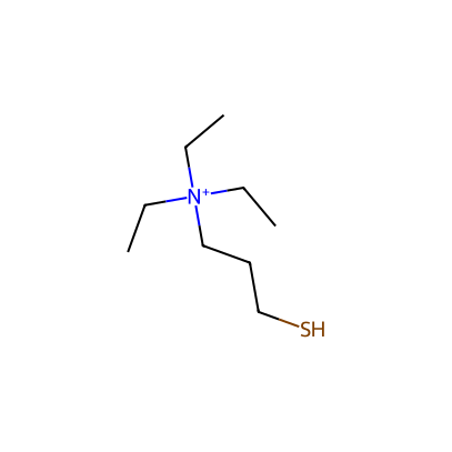 CC[N+](CC)(CC)CCCS